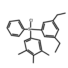 CCc1cc(CC)cc([Si](Cl)(c2ccccc2)c2cc(C)c(C)c(C)c2)c1